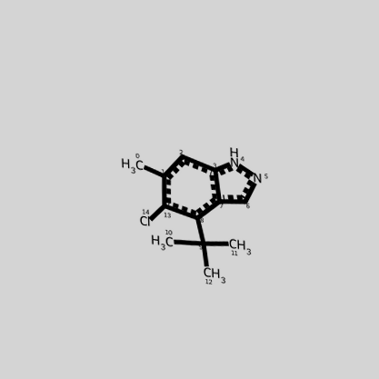 Cc1cc2[nH]ncc2c(C(C)(C)C)c1Cl